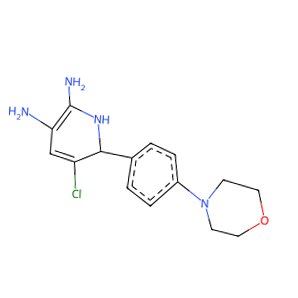 NC1=C(N)NC(c2ccc(N3CCOCC3)cc2)C(Cl)=C1